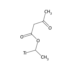 CC(=O)CC(=O)O[CH](C)[Ti]